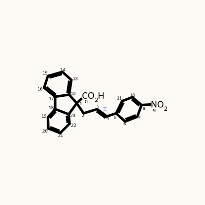 O=C(O)C1(C/C=C/c2ccc([N+](=O)[O-])cc2)c2ccccc2-c2ccccc21